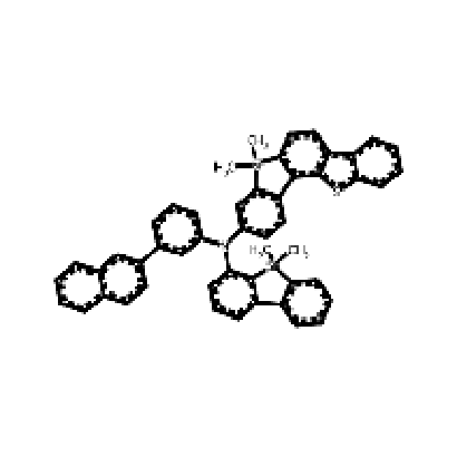 C[Si]1(C)c2cc(N(c3cccc(-c4ccc5ccccc5c4)c3)c3cccc4c3[Si](C)(C)c3ccccc3-4)ccc2-c2c1ccc1c2sc2ccccc21